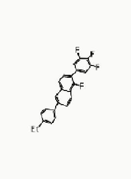 CCc1ccc(-c2ccc3c(F)c(-c4cc(F)c(F)c(F)c4)ccc3c2)cc1